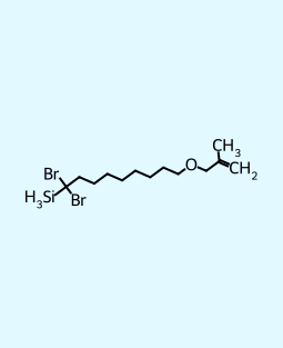 C=C(C)COCCCCCCCCC([SiH3])(Br)Br